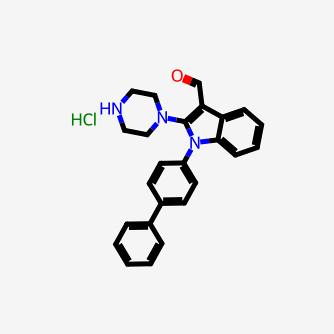 Cl.O=Cc1c(N2CCNCC2)n(-c2ccc(-c3ccccc3)cc2)c2ccccc12